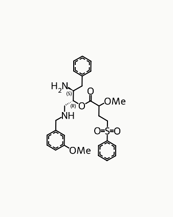 COc1cccc(CNC[C@@H](OC(=O)C(CCS(=O)(=O)c2ccccc2)OC)[C@@H](N)Cc2ccccc2)c1